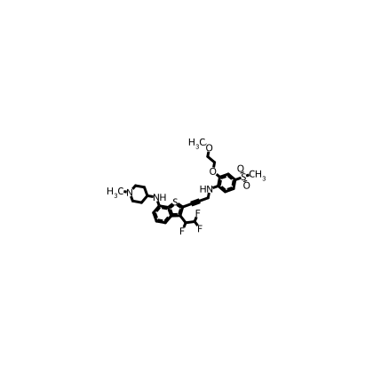 COCCOc1cc(S(C)(=O)=O)ccc1NCC#Cc1sc2c(NC3CCN(C)CC3)cccc2c1C(F)C(F)F